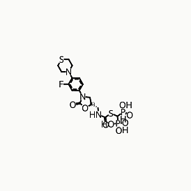 O=C(NC[C@H]1CN(c2ccc(N3CCSCC3)c(F)c2)C(=O)O1)SC([PH](=O)O)P(=O)(O)O